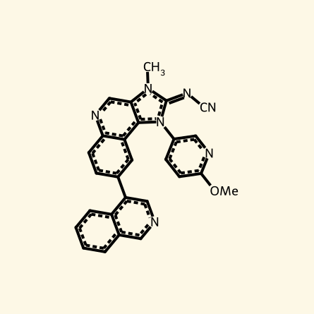 COc1ccc(-n2c(=NC#N)n(C)c3cnc4ccc(-c5cncc6ccccc56)cc4c32)cn1